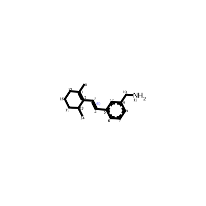 CC1=C(/C=C/c2cccc(CN)c2)C(C)CCC1